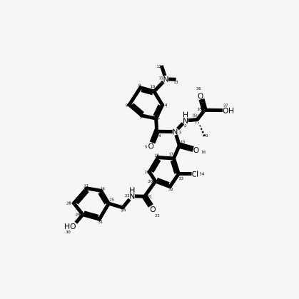 C[C@H](NN(C(=O)c1cccc(N(C)C)c1)C(=O)c1ccc(C(=O)NCc2cccc(O)c2)cc1Cl)C(=O)O